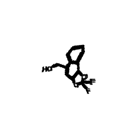 OCc1cc2c(c3ccccc13)OC(F)(F)O2